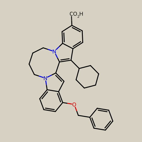 O=C(O)c1ccc2c(C3CCCCC3)c3n(c2c1)CCCCn1c-3cc2c(OCc3ccccc3)cccc21